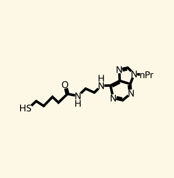 CCCn1cnc2c(NCCNC(=O)CCCCS)ncnc21